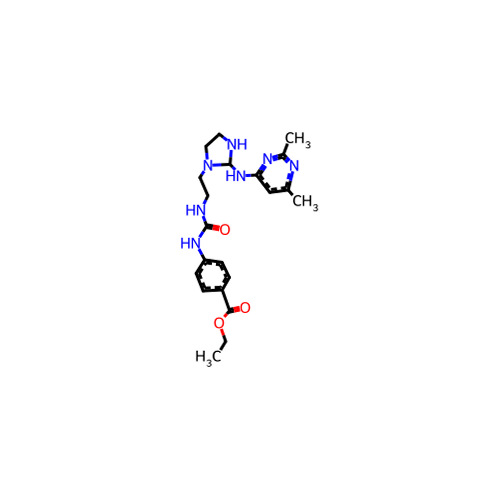 CCOC(=O)c1ccc(NC(=O)NCCN2CCNC2Nc2cc(C)nc(C)n2)cc1